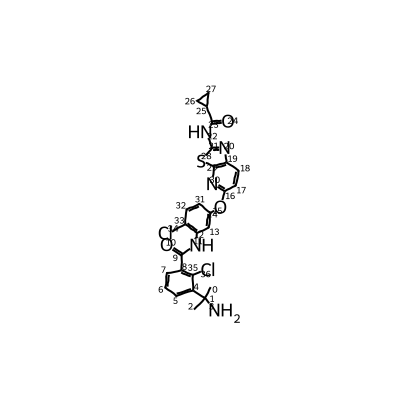 CC(C)(N)c1cccc(C(=O)Nc2cc(Oc3ccc4nc(NC(=O)C5CC5)sc4n3)ccc2Cl)c1Cl